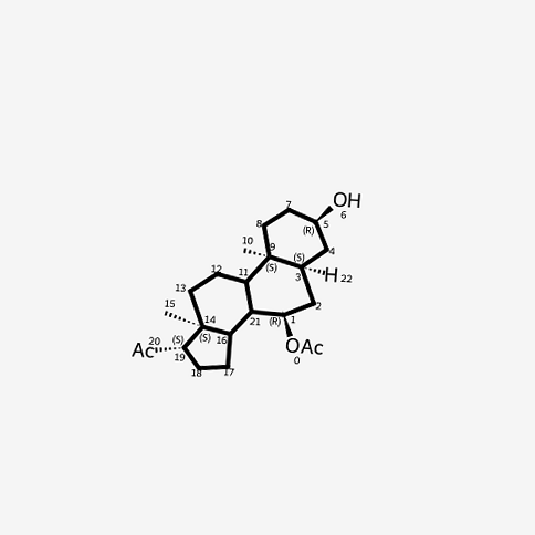 CC(=O)O[C@@H]1C[C@@H]2C[C@H](O)CC[C@]2(C)C2CC[C@@]3(C)C(CC[C@@H]3C(C)=O)C21